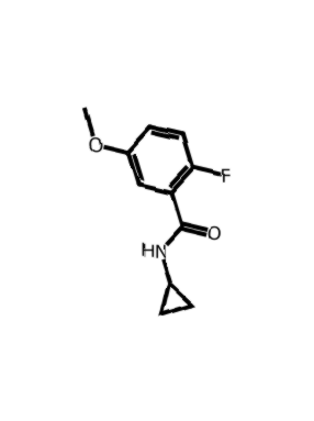 COc1ccc(F)c(C(=O)NC2CC2)c1